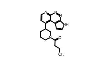 O=C(CCC(F)(F)F)N1CCCC(c2ccnc3nnc4[nH]ccc4c23)C1